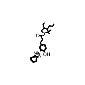 CCCC(C(CC)COC(=O)CCc1ccc(O)c(-n2nc3ccccc3n2)c1)C(C)(C)C